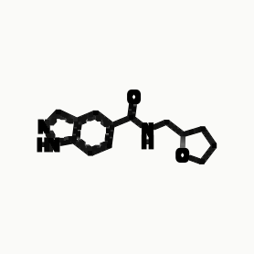 O=C(NCC1CCCO1)c1ccc2[nH]ncc2c1